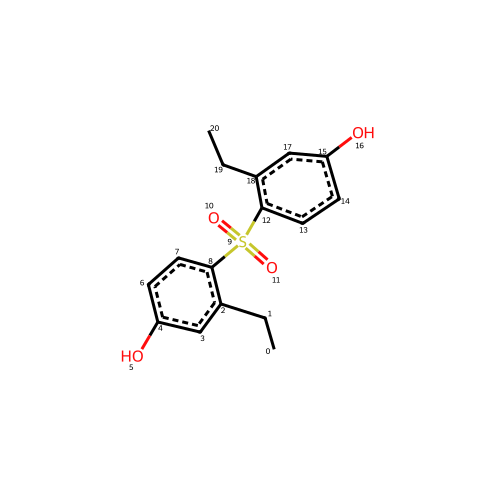 CCc1cc(O)ccc1S(=O)(=O)c1ccc(O)cc1CC